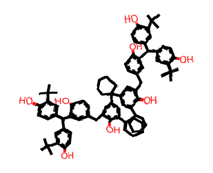 CC(C)(C)c1cc(C(c2ccc(O)c(C(C)(C)C)c2)c2cc(Cc3cc(C4(c5cc(Cc6ccc(O)c(C(c7ccc(O)c(C(C)(C)C)c7)c7ccc(O)c(C(C)(C)C)c7)c6)c(O)c(C6CCCCC6)c5)CCCCC4)cc(C4CCCCC4)c3O)ccc2O)ccc1O